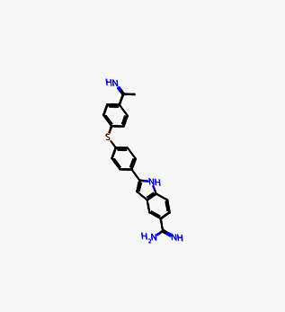 CC(=N)c1ccc(Sc2ccc(-c3cc4cc(C(=N)N)ccc4[nH]3)cc2)cc1